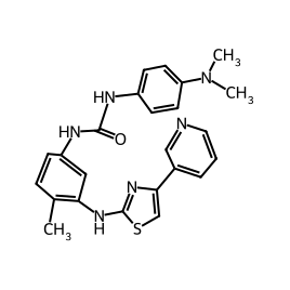 Cc1ccc(NC(=O)Nc2ccc(N(C)C)cc2)cc1Nc1nc(-c2cccnc2)cs1